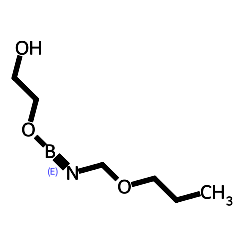 CCCOC/N=B/OCCO